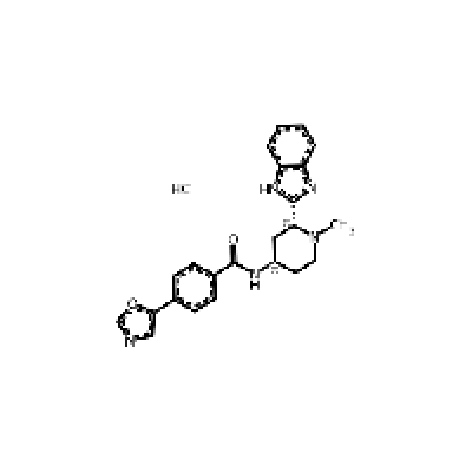 CN1CC[C@@H](NC(=O)c2ccc(-c3cnco3)cc2)C[C@@H]1c1nc2ccccc2[nH]1.Cl